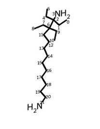 CCC(N)(CC)C(CC)(CC)CCCCCCCCCCN